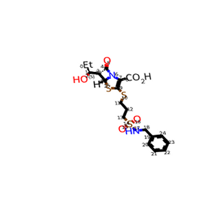 CC[C@H](O)[C@@H]1C(=O)N2C(C(=O)O)=C(SCCCS(=O)(=O)NCc3ccccc3)S[C@H]12